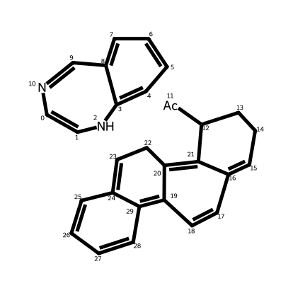 C1=CNc2ccccc2C=N1.CC(=O)C1CCC=c2ccc3c(c21)CC=c1ccccc1=3